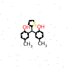 Cc1ccc(O)c(C(c2cccs2)c2cc(C)ccc2O)c1